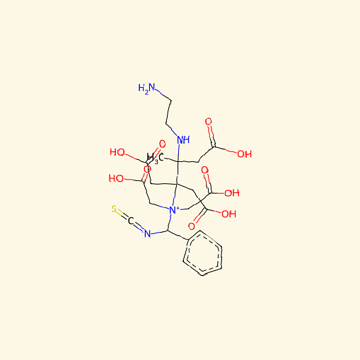 CC(CC(=O)O)(NCCN)C(CC(=O)O)(CC(=O)O)[N+](CC(=O)O)(CC(=O)O)C(N=C=S)c1ccccc1